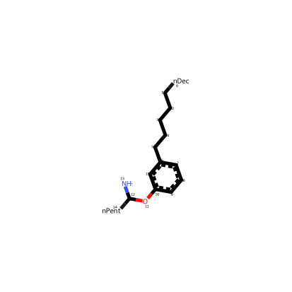 CCCCCCCCCCCCCCCc1cccc(OC([NH])CCCCC)c1